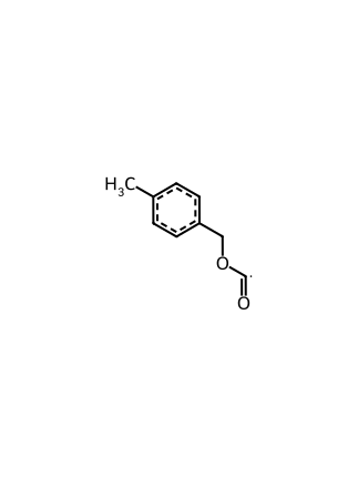 Cc1ccc(CO[C]=O)cc1